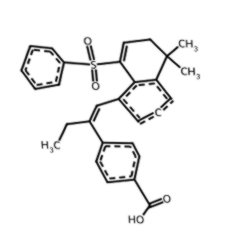 CCC(=Cc1cccc2c1C(S(=O)(=O)c1ccccc1)=CCC2(C)C)c1ccc(C(=O)O)cc1